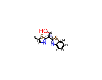 Cc1cnc(/C(=C\O)c2nc3ccccc3s2)s1